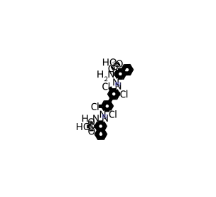 Nc1c(/N=N/c2c(Cl)cc(-c3cc(Cl)c(/N=N/c4cc5ccccc5c(S(=O)(=O)O)c4N)c(Cl)c3)cc2Cl)cc2ccccc2c1S(=O)(=O)O